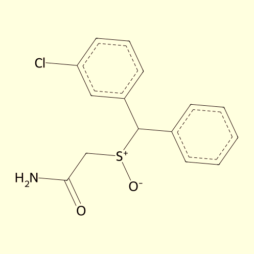 NC(=O)C[S+]([O-])C(c1ccccc1)c1cccc(Cl)c1